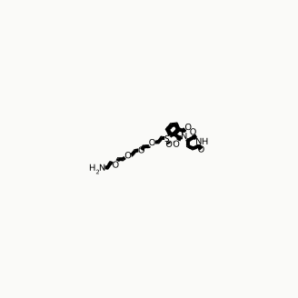 NCCOCCOCCOCCOCC[S+]([O-])c1cccc2c1C(=O)N(C1CCC(=O)NC1=O)C2=O